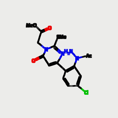 COC(=O)Cn1c(SC)nc(-c2ccc(Cl)cc2N(N)C(C)=O)cc1=O